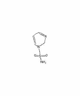 NS(=O)(=O)N1C=CC=NC1